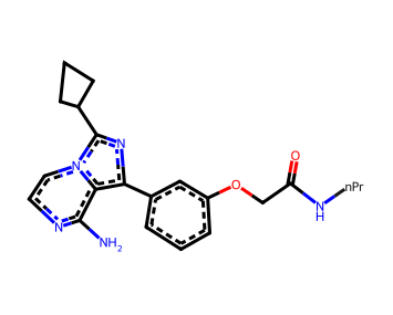 CCCNC(=O)COc1cccc(-c2nc(C3CCC3)n3ccnc(N)c23)c1